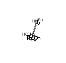 CCC(C)NC(=O)CCCCCCCC[C@H]1C[C@]2(C)[C@@H](O)CC[C@H]2[C@@H]2CC[C@H]3CC(=O)CC[C@]3(C)[C@@H]12